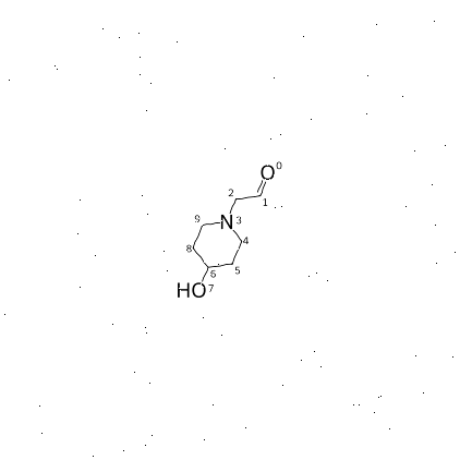 O=CCN1CCC(O)CC1